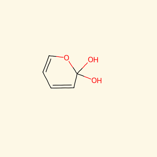 OC1(O)C=CC=CO1